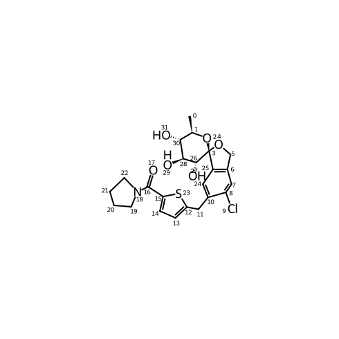 C[C@H]1O[C@]2(OCc3cc(Cl)c(Cc4ccc(C(=O)N5CCCC5)s4)cc32)[C@H](O)[C@@H](O)[C@@H]1O